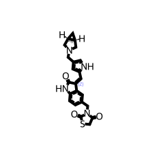 O=C1Nc2ccc(CN3C(=O)CSC3=O)cc2/C1=C/c1cc(CN2C[C@H]3C[C@H]3C2)c[nH]1